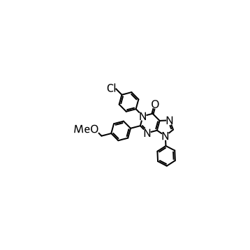 COCc1ccc(-c2nc3c(ncn3-c3ccccc3)c(=O)n2-c2ccc(Cl)cc2)cc1